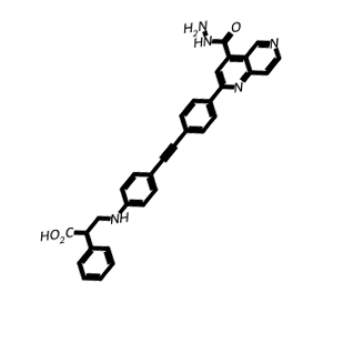 NNC(=O)c1cc(-c2ccc(C#Cc3ccc(NCC(C(=O)O)c4ccccc4)cc3)cc2)nc2ccncc12